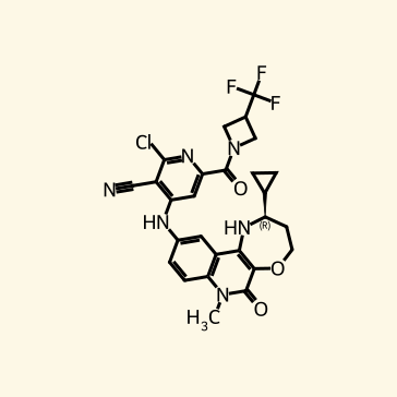 Cn1c(=O)c2c(c3cc(Nc4cc(C(=O)N5CC(C(F)(F)F)C5)nc(Cl)c4C#N)ccc31)N[C@@H](C1CC1)CCO2